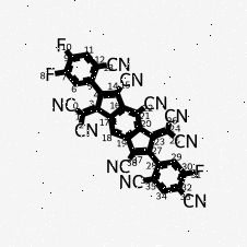 N#CC(C#N)=C1C(c2cc(F)c(F)cc2C#N)=C(C#N)c2c1cc1c(c2C#N)C(=C(C#N)C#N)C(c2cc(F)c(C#N)cc2C#N)=C1C#N